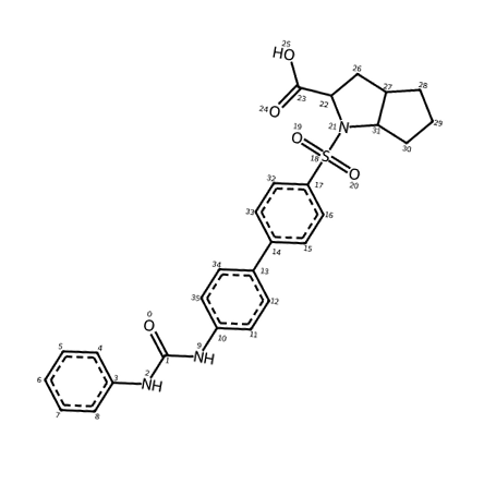 O=C(Nc1ccccc1)Nc1ccc(-c2ccc(S(=O)(=O)N3C(C(=O)O)CC4CCCC43)cc2)cc1